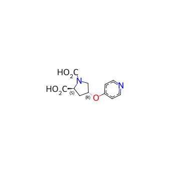 O=C(O)[C@@H]1C[C@@H](Oc2ccncc2)CN1C(=O)O